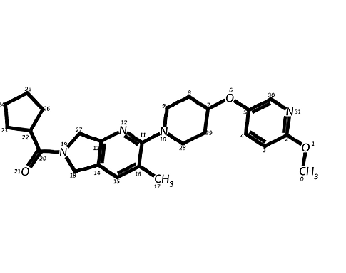 COc1ccc(OC2CCN(c3nc4c(cc3C)CN(C(=O)C3CCCC3)C4)CC2)cn1